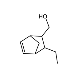 CCC1C2C=CC(C2)C1CO